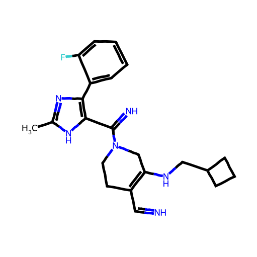 Cc1nc(-c2ccccc2F)c(C(=N)N2CCC(C=N)=C(NCC3CCC3)C2)[nH]1